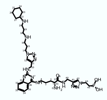 N[C@@H](CCCNc1nc(NCc2cn(CCCNCCCNC3CCCCC3)nn2)nc2ccccc12)C(=O)NCc1cn(CCP(O)O)nn1